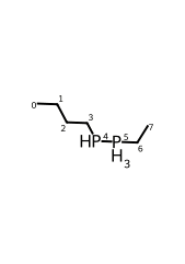 CCCCP[PH3]CC